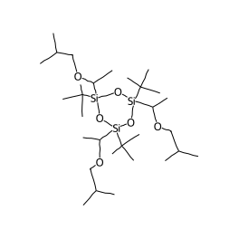 CC(C)COC(C)[Si]1(C(C)(C)C)O[Si](C(C)OCC(C)C)(C(C)(C)C)O[Si](C(C)OCC(C)C)(C(C)(C)C)O1